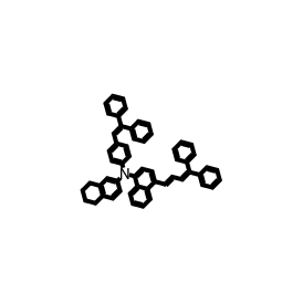 C(/C=C/c1ccc(N(c2ccc(C=C(c3ccccc3)c3ccccc3)cc2)c2ccc3c(c2)CCCC3)c2ccccc12)=C(c1ccccc1)c1ccccc1